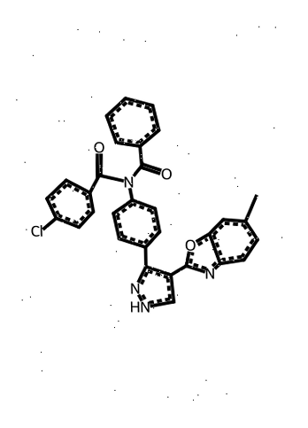 Cc1ccc2nc(-c3c[nH]nc3-c3ccc(N(C(=O)c4ccccc4)C(=O)c4ccc(Cl)cc4)cc3)oc2c1